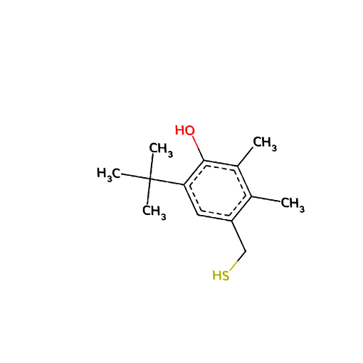 Cc1c(CS)cc(C(C)(C)C)c(O)c1C